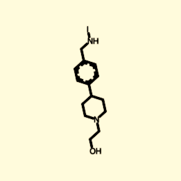 OCCN1CCC(c2ccc(CNI)cc2)CC1